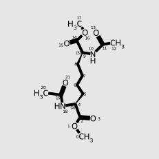 COC(=O)[C@H](CCCC[C@H](NC(C)=O)C(=O)OC)NC(C)=O